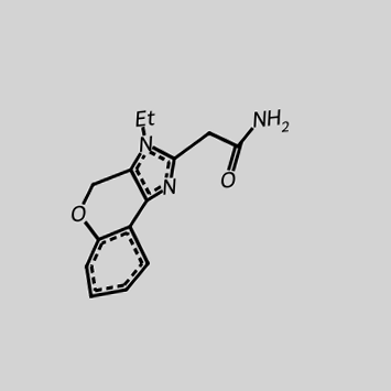 CCn1c(CC(N)=O)nc2c1COc1ccccc1-2